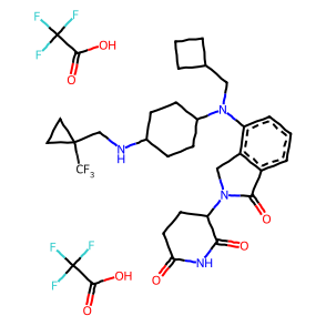 O=C(O)C(F)(F)F.O=C(O)C(F)(F)F.O=C1CCC(N2Cc3c(cccc3N(CC3CCC3)C3CCC(NCC4(C(F)(F)F)CC4)CC3)C2=O)C(=O)N1